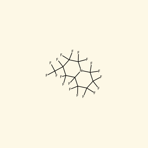 FC(F)(F)C1(F)C(F)(F)C(F)(F)N2C(F)(F)C(F)(F)C(F)(F)C(F)(F)C2(F)C1(F)F